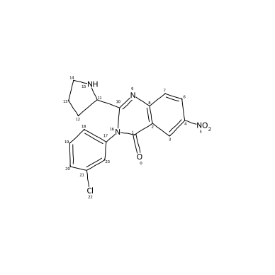 O=c1c2cc([N+](=O)[O-])ccc2nc(C2CCCN2)n1-c1cccc(Cl)c1